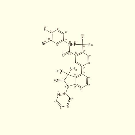 CC1(C)C(=O)N(c2ncccn2)c2cccc(-c3ccc(C(F)(F)F)c(C(=O)Nc4ccc(F)c(Br)c4)c3)c21